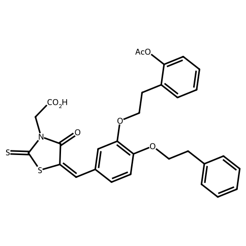 CC(=O)Oc1ccccc1CCOc1cc(C=C2SC(=S)N(CC(=O)O)C2=O)ccc1OCCc1ccccc1